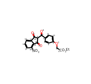 CCOC(=O)COc1ccc(C(=O)C2C(=O)c3cccc([N+](=O)[O-])c3C2=O)cc1